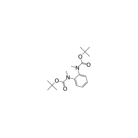 CN(C(=O)OC(C)(C)C)c1ccccc1N(C)C(=O)OC(C)(C)C